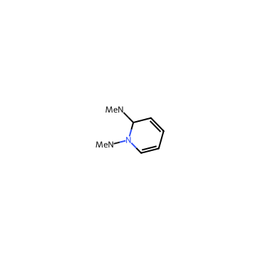 CNC1C=CC=CN1NC